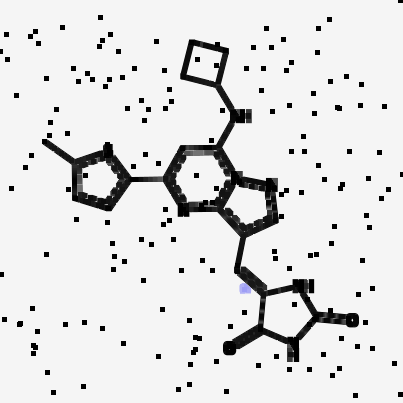 Cc1ccc(-c2cc(NC3CCC3)n3ncc(/C=C4\NC(=O)NC4=O)c3n2)s1